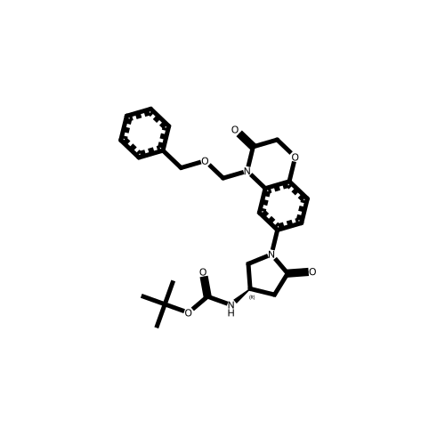 CC(C)(C)OC(=O)N[C@@H]1CC(=O)N(c2ccc3c(c2)N(COCc2ccccc2)C(=O)CO3)C1